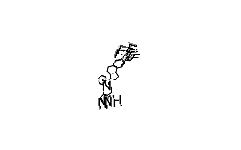 O=C([C@@H]1CCC2c3ccc(C(F)(C(F)(F)F)C(F)(F)F)cc3CCC21)N1CCc2[nH]ncc2C1